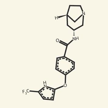 O=C(N[C@@H]1C[C@@H]2CCN(C2)C1)c1ccc(Oc2ccc(C(F)(F)F)[nH]2)cc1